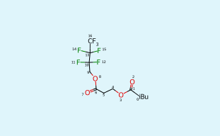 CCC(C)C(=O)OCCC(=O)OCC(F)(F)C(F)(F)C(F)(F)F